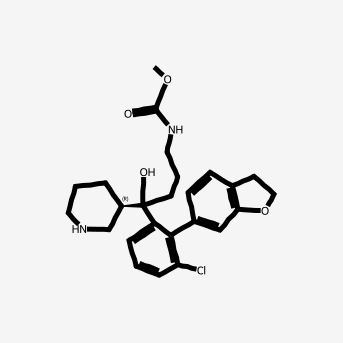 COC(=O)NCCCC(O)(c1cccc(Cl)c1-c1ccc2c(c1)OCC2)[C@@H]1CCCNC1